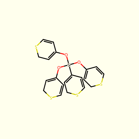 C1=CC(O[Si](OC2=CCSC=C2)(OC2=CCSC=C2)C2=CCSC=C2)=CCS1